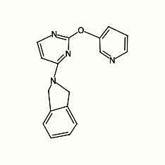 c1cncc(Oc2nccc(N3Cc4ccccc4C3)n2)c1